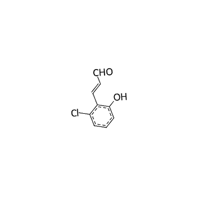 O=CC=Cc1c(O)cccc1Cl